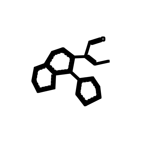 CC=C(C=O)c1ccc2ccccc2c1-c1ccccc1